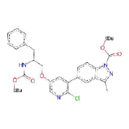 Cc1nn(C(=O)OC(C)(C)C)c2ccc(-c3cc(OCC(Cc4ccccc4)NC(=O)OC(C)(C)C)cnc3Cl)cc12